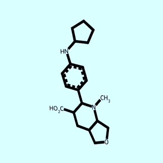 CN1C2COCC2CC(C(=O)O)C1c1ccc(NC2CCCC2)cc1